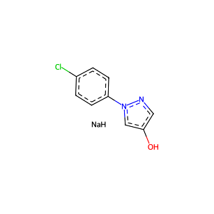 Oc1cnn(-c2ccc(Cl)cc2)c1.[NaH]